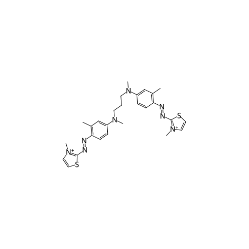 Cc1cc(N(C)CCCN(C)c2ccc(N=Nc3scc[n+]3C)c(C)c2)ccc1N=Nc1scc[n+]1C